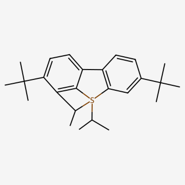 CC(C)S12c3cc(C(C)(C)C)ccc3-c3ccc(C(C)(C)C)c(c31)C2C